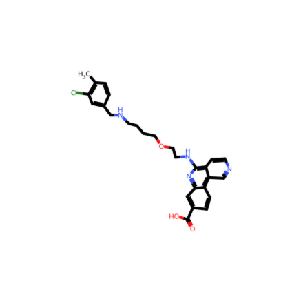 Cc1ccc(CNCCCCOCCNc2nc3cc(C(=O)O)ccc3c3cnccc23)cc1Cl